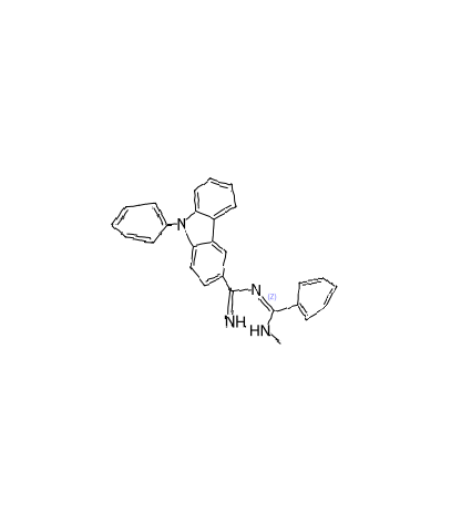 CN/C(=N\C(=N)c1ccc2c(c1)c1ccccc1n2-c1ccccc1)c1ccccc1